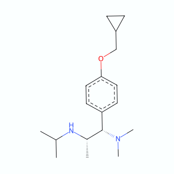 CC(C)N[C@@H](C)[C@H](c1ccc(OCC2CC2)cc1)N(C)C